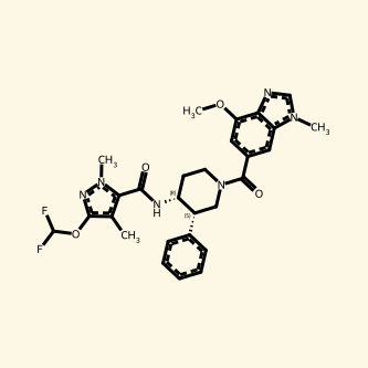 COc1cc(C(=O)N2CC[C@@H](NC(=O)c3c(C)c(OC(F)F)nn3C)[C@@H](c3ccccc3)C2)cc2c1ncn2C